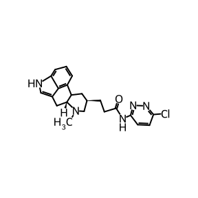 CN1C[C@H](CCC(=O)Nc2ccc(Cl)nn2)CC2c3cccc4[nH]cc(c34)C[C@H]21